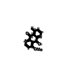 COc1ccnc2c1C(=O)c1nccc(C)c1C2=O